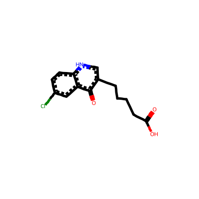 O=C(O)CCCCc1c[nH]c2ccc(Cl)cc2c1=O